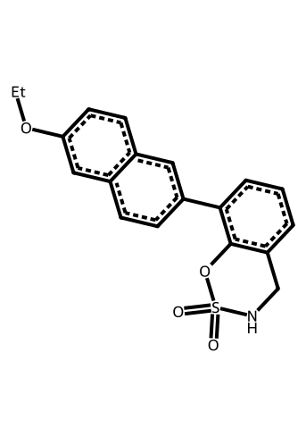 CCOc1ccc2cc(-c3cccc4c3OS(=O)(=O)NC4)ccc2c1